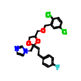 Fc1ccc(CCC2(Cn3ccnc3)OCC(COCc3cc(Cl)ccc3Cl)O2)cc1